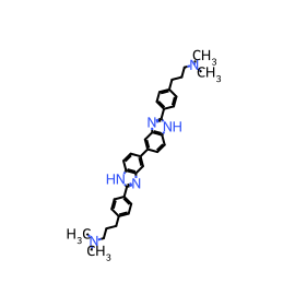 CN(C)CCCc1ccc(-c2nc3cc(-c4ccc5[nH]c(-c6ccc(CCCN(C)C)cc6)nc5c4)ccc3[nH]2)cc1